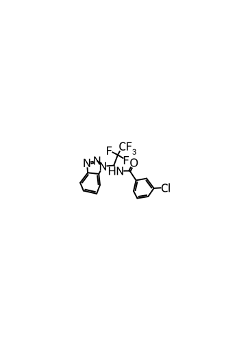 O=C(NC(n1nnc2ccccc21)C(F)(F)C(F)(F)F)c1cccc(Cl)c1